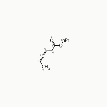 CC=C=CCC(=O)OCCC